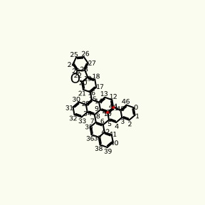 c1ccc2cc(-c3c(-c4c5ccccc5c(-c5ccc6c(c5)oc5ccccc56)c5ccccc45)ccc4ccccc34)ccc2c1